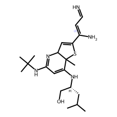 CC(C)C[C@H](CO)NC1=CC(NC(C)(C)C)=NC2C=C(/C(N)=C/C=N)SC12C